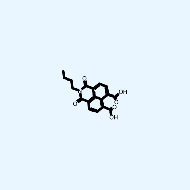 CCCCN1C(=O)c2ccc(C(=O)O)c3c(C(=O)O)ccc(c23)C1=O